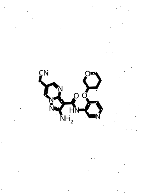 N#CCc1cnc2c(C(=O)Nc3cnccc3OC3CCCOC3)c(N)nn2c1